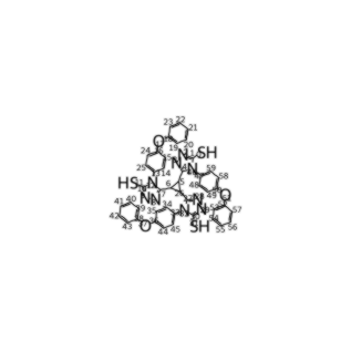 Sc1nnc(C2C(c3nnc(S)n3-c3ccc(Oc4ccccc4)cc3)C2c2nnc(S)n2-c2ccc(Oc3ccccc3)cc2)n1-c1ccc(Oc2ccccc2)cc1